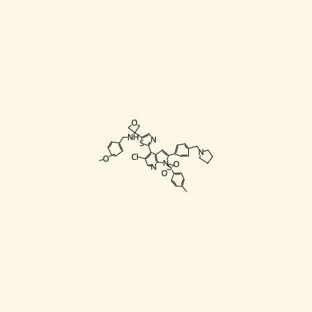 COc1ccc(CNC2(c3cnc(-c4c(Cl)cnc5c4cc(-c4ccc(CN6CCCC6)cc4)n5S(=O)(=O)c4ccc(C)cc4)s3)COC2)cc1